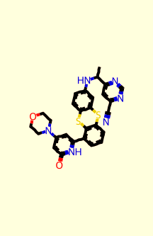 CC(Nc1ccc2c(c1)Sc1cccc(-c3cc(N4CCOCC4)cc(=O)[nH]3)c1S2)c1cc(C#N)ncn1